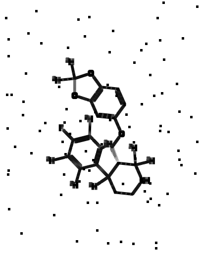 [2H]c1c([2H])c(C2([2H])CCNC([2H])([2H])[C@H]2COc2ccc3c(c2)OC([2H])([2H])O3)c([2H])c([2H])c1F